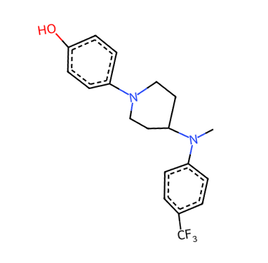 CN(c1ccc(C(F)(F)F)cc1)C1CCN(c2ccc(O)cc2)CC1